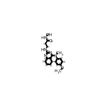 COc1ccc(N(C)c2nc(NCCC(=O)NO)nc3ccccc23)cc1